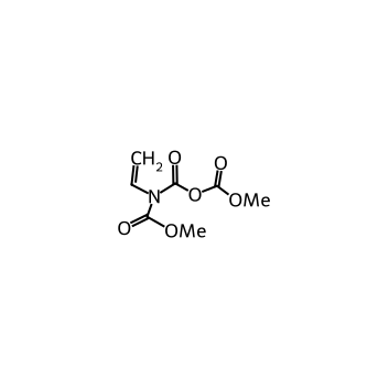 C=CN(C(=O)OC)C(=O)OC(=O)OC